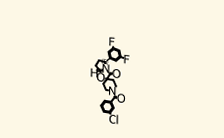 O=C(c1cccc(Cl)c1)N1CCC2(CC1)O[C@@H]1CC[C@@H](c3cc(F)cc(F)c3)N1C2=O